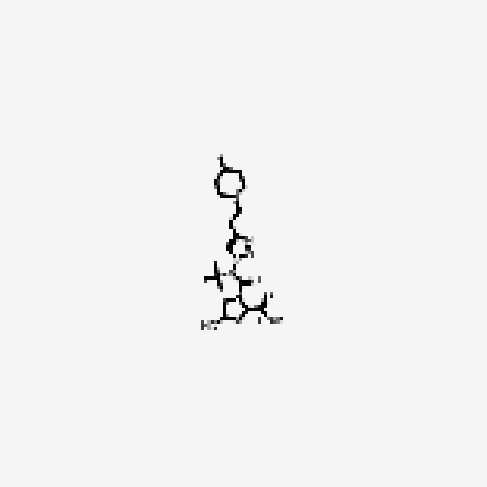 CNC(=O)C1CC(O)CN1C(=O)[C@@H](n1cc(CCN2CCC(C)CC2)nn1)C(C)(C)C